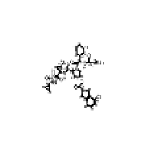 CC(C)(C)OC(=O)N[C@H](C(=O)N1C[C@H](OC(=O)N2Cc3cccc(Cl)c3C2)C[C@H]1C(=O)N[C@]1(C(=O)NS(=O)(=O)C2CC2)C[C@H]1I)C1CCCCC1